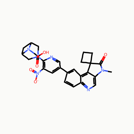 CN1C(=O)C2(CCC2)c2c1cnc1ccc(-c3cnc(N4CC5CC(C4)N5C(=O)O)c([N+](=O)[O-])c3)cc21